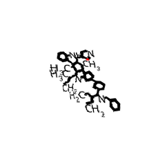 C=C/C=C(C=C)/C(=N/Cc1ccccc1)c1cccc(-c2ccc3c(c2)nc(/C(C)=C/C=C)c2c(C)c4c(c(C)c23)C(c2ccncc2)Nc2ccccc2-4)c1